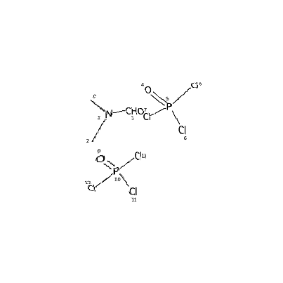 CN(C)C=O.O=P(Cl)(Cl)Cl.O=P(Cl)(Cl)Cl